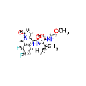 COCCNC(=O)C(NC(=O)CC1CCC(=O)N1Cc1cccc(F)c1F)C(C)C